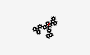 c1ccc(-c2cc(-c3cccc(-n4c5ccccc5c5ccccc54)c3)ccc2N(c2ccc(-c3cccc4ccccc34)cc2)c2ccc(-c3cc4ccccc4c4ccccc34)cc2)cc1